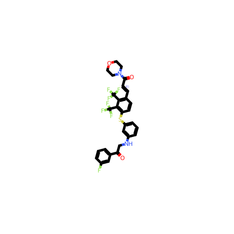 O=C(CNc1cccc(Sc2ccc(/C=C/C(=O)N3CCOCC3)c(C(F)(F)F)c2C(F)(F)F)c1)c1cccc(F)c1